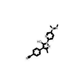 C/N=S(\C)c1ccc(-n2nc(C)c(-c3ccc(C#N)cc3)c2O)nc1